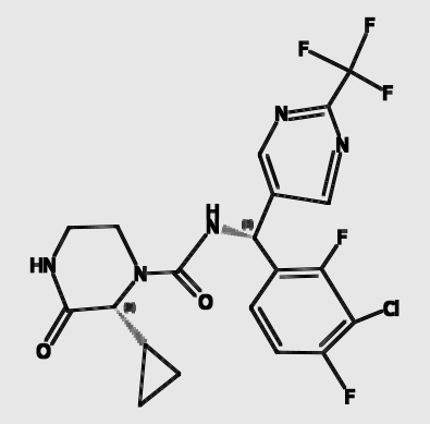 O=C1NCCN(C(=O)N[C@H](c2cnc(C(F)(F)F)nc2)c2ccc(F)c(Cl)c2F)[C@@H]1C1CC1